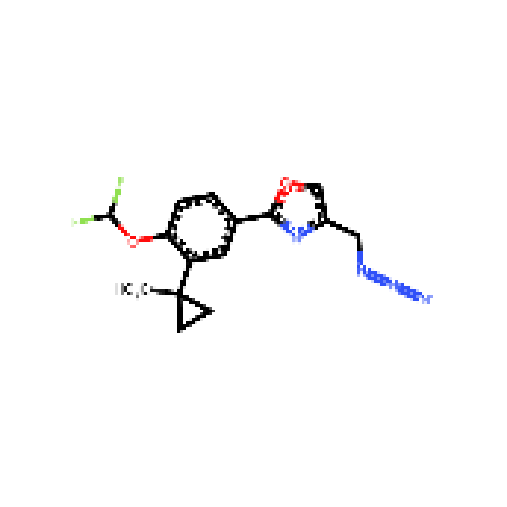 [N-]=[N+]=NCc1coc(-c2ccc(OC(F)F)c(C3(C(=O)O)CC3)c2)n1